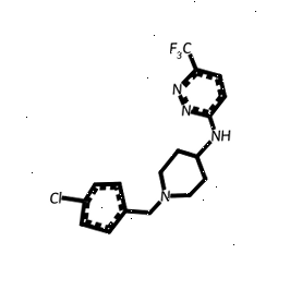 FC(F)(F)c1ccc(NC2CCN(Cc3ccc(Cl)cc3)CC2)nn1